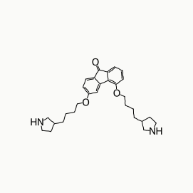 O=C1c2ccc(OCCCCC3CCNC3)cc2-c2c(OCCCCC3CCNC3)cccc21